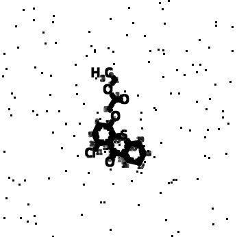 CCOC(=O)COc1ccc(Cl)c2c(=O)c3ccccc3sc12